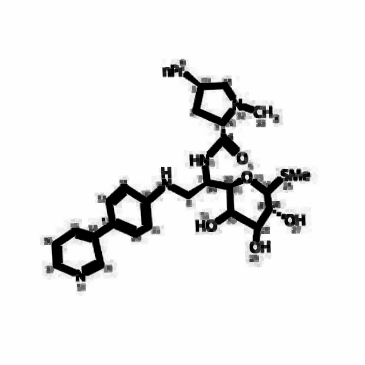 CCC[C@@H]1C[C@@H](C(=O)N[C@H](CNc2ccc(-c3cccnc3)cc2)[C@H]2OC(SC)[C@H](O)C(O)C2O)N(C)C1